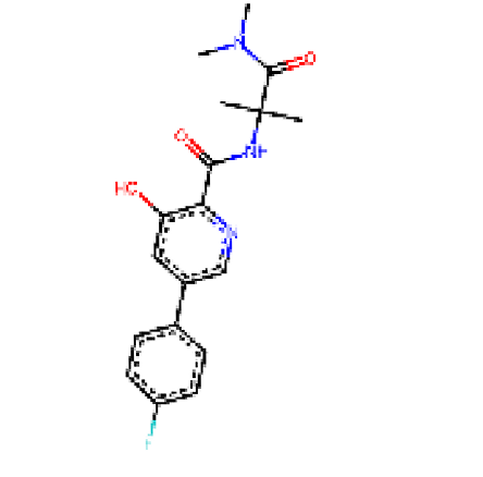 CN(C)C(=O)C(C)(C)NC(=O)c1ncc(-c2ccc(F)cc2)cc1O